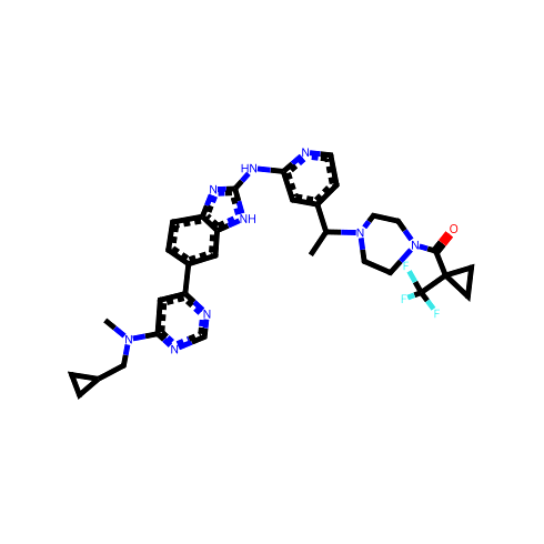 CC(c1ccnc(Nc2nc3ccc(-c4cc(N(C)CC5CC5)ncn4)cc3[nH]2)c1)N1CCN(C(=O)C2(C(F)(F)F)CC2)CC1